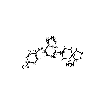 N[C@@H]1CCCC12CCN(c1ncc(Sc3ccc(Cl)cc3)c3nncn13)CC2